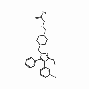 CCc1nn(C[C@H]2CC[C@H](COCC(=O)O)CC2)c(-c2ccccc2)c1-c1cccc(Cl)c1